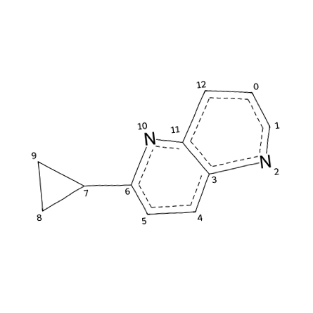 c1cnc2ccc(C3CC3)nc2c1